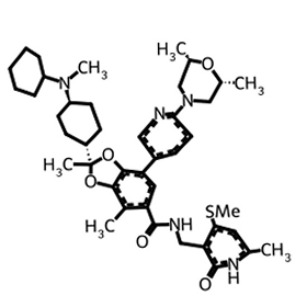 CSc1cc(C)[nH]c(=O)c1CNC(=O)c1cc(-c2ccc(N3C[C@@H](C)O[C@@H](C)C3)nc2)c2c(c1C)OC(C)([C@H]1CC[C@H](N(C)C3CCCCC3)CC1)O2